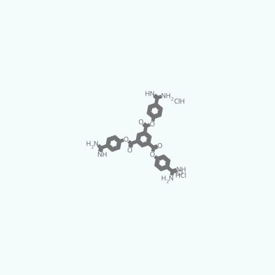 Cl.Cl.Cl.N=C(N)c1ccc(OC(=O)c2cc(C(=O)Oc3ccc(C(=N)N)cc3)cc(C(=O)Oc3ccc(C(=N)N)cc3)c2)cc1